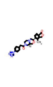 Cc1c([C@@H]2CN3CCN(C(=O)Cc4ccc(-n5cnnn5)cc4)C[C@@H]3CO2)ccc2c1COC2=O